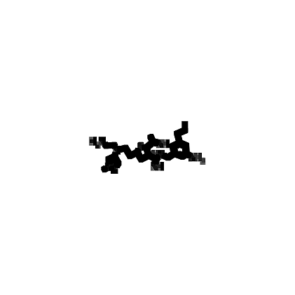 CCCc1cc(N)cc(CNC(=N)C2CC(CCN(CCN)c3cnn(C)c3)SC2C(C)=N)c1